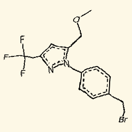 COCc1cc(C(F)(F)F)nn1-c1ccc(CBr)cc1